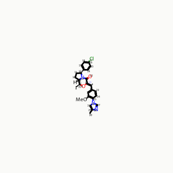 COc1cc(/C=C2\O[C@@H](C)[C@H]3CC[C@@H](c4ccc(Cl)cc4)N3C2=O)ccc1-n1cnc(C)c1